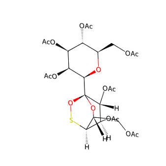 CC(=O)OC[C@H]1O[C@@H]([C@]23OS[C@H]([C@H](OC(C)=O)[C@H]2OC(C)=O)[C@@H](COC(C)=O)O3)[C@@H](OC(C)=O)[C@@H](OC(C)=O)[C@@H]1OC(C)=O